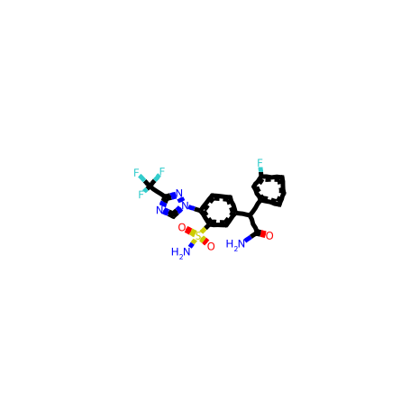 NC(=O)C(c1cccc(F)c1)c1ccc(-n2cnc(C(F)(F)F)n2)c(S(N)(=O)=O)c1